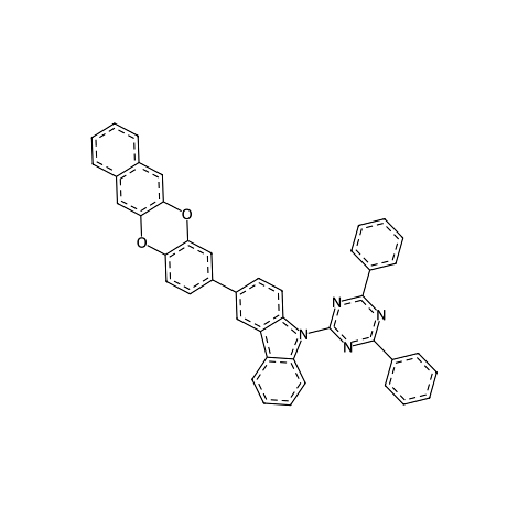 c1ccc(-c2nc(-c3ccccc3)nc(-n3c4ccccc4c4cc(-c5ccc6c(c5)Oc5cc7ccccc7cc5O6)ccc43)n2)cc1